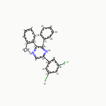 Cc1ccccc1-c1ncc(-c2cc(F)cc(F)c2)nc1-c1ccccc1